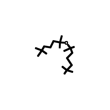 CC(C)(C)CCCC(C)(C)OC(C)(C)CCCC(C)(C)C